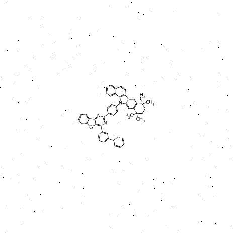 CC1(C)CCC(C)(C)c2cc3c(cc21)c1ccc2ccccc2c1n3-c1ccc(-c2nc(-c3cccc(C4C=CC=CC4)c3)c3oc4ccccc4c3n2)cc1